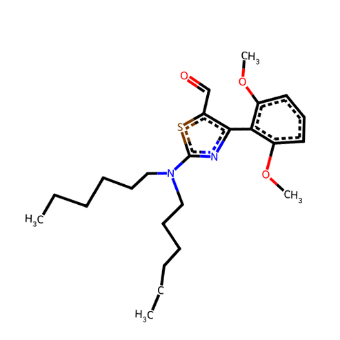 CCCCCCN(CCCCCC)c1nc(-c2c(OC)cccc2OC)c(C=O)s1